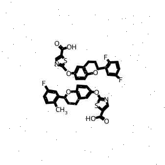 Cc1ccc(F)cc1C1CCc2cc(Oc3ncc(C(=O)O)s3)ccc2O1.O=C(O)c1cnc(Oc2ccc3c(c2)CCC(c2cc(F)ccc2F)O3)s1